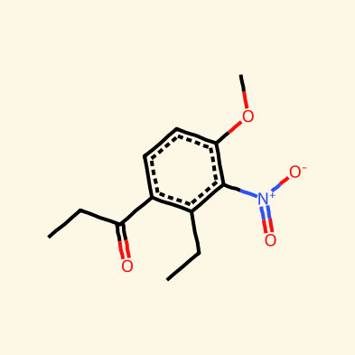 CCC(=O)c1ccc(OC)c([N+](=O)[O-])c1CC